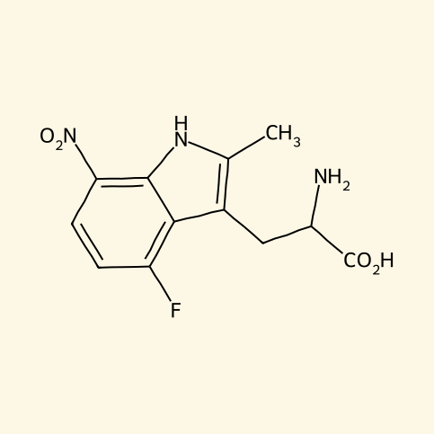 Cc1[nH]c2c([N+](=O)[O-])ccc(F)c2c1CC(N)C(=O)O